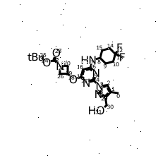 Cc1cn(-c2nc(NC3CCC(F)(F)CC3)cc(OC3CN(C(=O)OC(C)(C)C)C3)n2)nc1CO